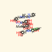 CC(CCc1ccc(O)cc1)NCCc1ccc(O)c(O)c1.CNC[C@H](O)c1ccc(O)c(O)c1.Cl.NC[C@H](O)c1ccc(O)c(O)c1.Oc1ccc(CCNCCCCCCNCCc2ccccc2)cc1O.[Cl-].[Cl-].[H+].[H+]